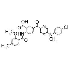 COc1cc(C)ccc1C(=O)Nc1ccc(C(=O)c2ccc(N(C)c3ccc(Cl)cc3)cn2)cc1C(=O)O